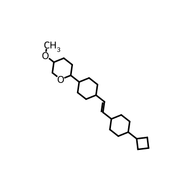 COC1CCC(C2CCC(/C=C/C3CCC(C4CCC4)CC3)CC2)OC1